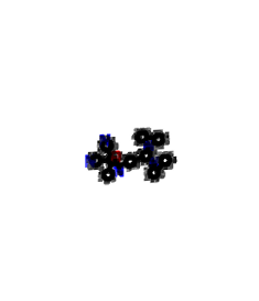 c1ccc2c(c1)nc(-c1ccc(-c3cc(-n4c5ccccc5c5ccccc54)cc(-n4c5ccccc5c5ccccc54)c3)cc1)c1oc(-c3ccncc3)c(-c3ccncc3)c12